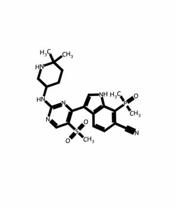 CC1(C)CCC(Nc2ncc(S(C)(=O)=O)c(-c3c[nH]c4c(P(C)(C)=O)c(C#N)ccc34)n2)CN1